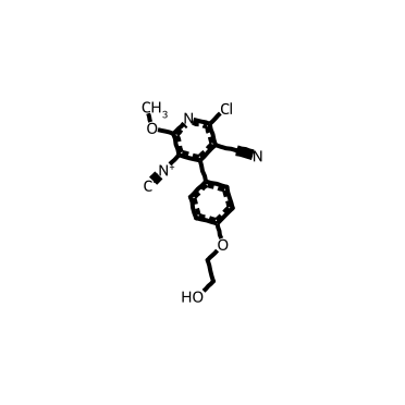 [C-]#[N+]c1c(OC)nc(Cl)c(C#N)c1-c1ccc(OCCO)cc1